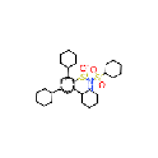 O=S(=O)(N[S+]([O-])c1c(C2CCCCC2)cc(C2CCCCC2)cc1C1CCCCC1)C1CCCCC1